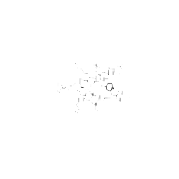 CN[C@@H](CC(C)C)C(=O)N[C@@H](CC(=O)O)C(=O)N[C@@H](Cc1ccccc1)C(=O)N[C@H](CCCCN)C(=O)N[C@@H](CCCNC(=N)N)C(=O)N[C@H](CCCCN)C(=O)N[C@@H](C)C(=O)N[C@H](CCCNC(=N)N)C(N)=O